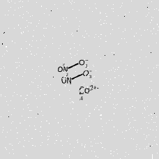 O=N[O-].O=N[O-].[Co+2]